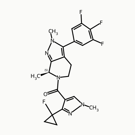 C[C@H]1c2nn(C)c(-c3cc(F)c(F)c(F)c3)c2CCN1C(=O)c1cn(C)nc1C1(F)CC1